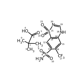 CC(C)(C)C(=O)O.NS(=O)(=O)c1cc2c(cc1C(F)(F)F)NC=NS2(=O)=O